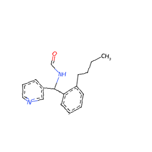 CCCCc1cc[c]cc1C(NC=O)c1cccnc1